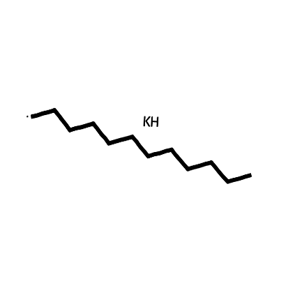 [CH2]CCCCCCCCCCC.[KH]